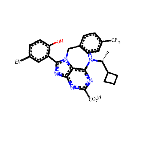 CCc1ccc(O)c(-c2nc3nc(C(=O)O)nc(N[C@H](C)C4CCC4)c3n2Cc2ccc(C(F)(F)F)cc2)c1